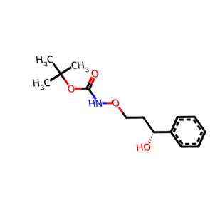 CC(C)(C)OC(=O)NOCC[C@@H](O)c1ccccc1